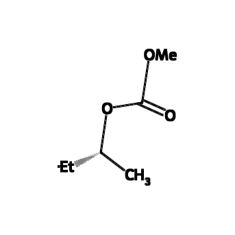 C[CH][C@@H](C)OC(=O)OC